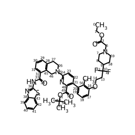 CCOC(=O)CN1CCC(C(F)(F)CCOc2cccc(-c3ccc(N4CCc5cccc(C(=O)Nc6nc7ccccc7s6)c5C4)nc3C(=O)OC(C)(C)C)c2C)CC1